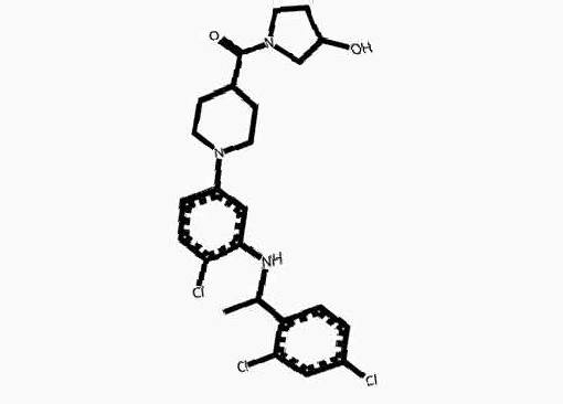 CC(Nc1cc(N2CCC(C(=O)N3CCC(O)C3)CC2)ccc1Cl)c1ccc(Cl)cc1Cl